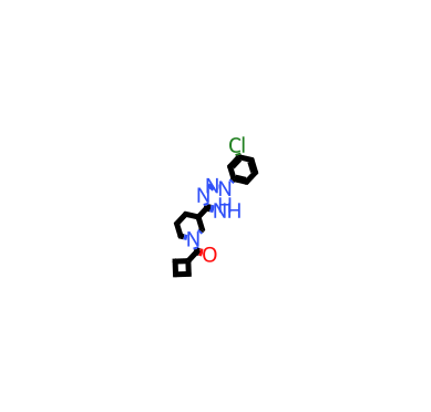 N=C(/N=N\Nc1cccc(Cl)c1)C1CCCN(C(=O)C2CCC2)C1